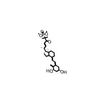 C=C1/C(=C\C=C2/CCC[C@@]3(C)C2CC[C@@H]3[C@H](C)/C=C/C(=O)C(C)(C)P(=O)(OC)OC)C[C@@H](O)C[C@@H]1O